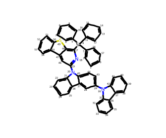 c1ccc([Si](c2ccccc2)(c2ccccc2)c2nc(-n3c4ccccc4c4cc(-n5c6ccccc6c6ccccc65)ccc43)cc3c2sc2ccccc23)cc1